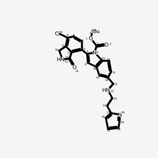 CC(C)(C)OC(=O)n1c(-c2ccc(Cl)c3c2C(=O)NC3)cc2cc(CNCCc3ccccn3)ccc21